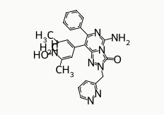 C=C(C)/C=C(\C=C(\C)NO)c1c(-c2ccccc2)nc(N)n2c(=O)n(Cc3cccnn3)nc12